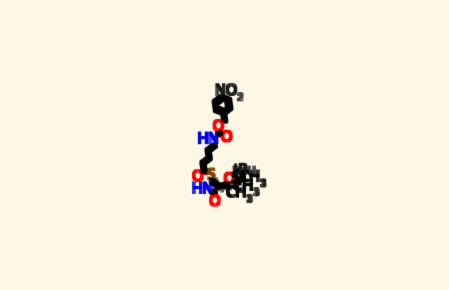 C[C@@H](O[Si](C)(C)C(C)(C)C)[C@@H]1C(=O)N[C@@H]1SC(=O)CCCCNC(=O)OCc1ccc([N+](=O)[O-])cc1